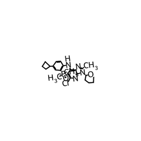 Cc1nc2c(Nc3ccc(C4CCC4)cc3P(C)(C)=O)cc(Cl)nc2n1C1CCCCO1